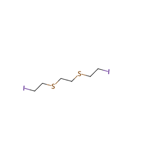 ICCSCCSCCI